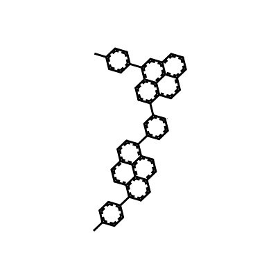 Cc1ccc(-c2ccc3ccc4c(-c5cc[c]c(-c6ccc7c(-c8ccc(C)cc8)cc8cccc9ccc6c7c98)c5)ccc5ccc2c3c54)cc1